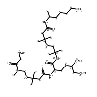 CNCC(=O)N(C)COC(C)(C)CC(=O)NC(CSC(CC=O)OC)C(=O)NC(C)(C)COC(C)(C)CC(=O)NC(C)CCCCN